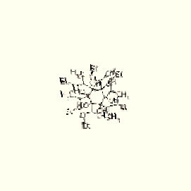 CCOC(C)C1(O)C(O)(C(C)OCC)C(O)(C(C)OCC)C(O)(C(C)OCC)C(O)(C(C)OCC)C1(O)C(C)OCC